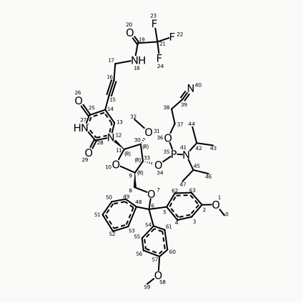 COc1ccc(C(OC[C@H]2O[C@@H](n3cc(C#CCNC(=O)C(F)(F)F)c(=O)[nH]c3=O)[C@H](OC)[C@@H]2OP(OCCC#N)N(C(C)C)C(C)C)(c2ccccc2)c2ccc(OC)cc2)cc1